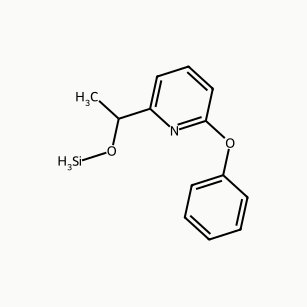 CC(O[SiH3])c1cccc(Oc2ccccc2)n1